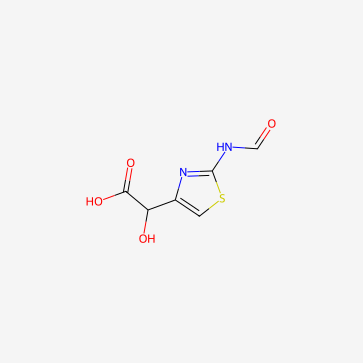 O=CNc1nc(C(O)C(=O)O)cs1